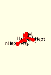 CCCCCCCC1(CCCCCCC)C2=CC=CCC2c2ccc(-c3ccc4c(c3)C(C)(C)c3cc(C5C=CC(c6cc7c(c8c6oc6ccccc68)-c6ccc(N(c8ccc(-c9ccc%10c(c9)C(C)(C)c9cc(-c%11ccc%12c(c%11)C(CCCCCCC)(CCCCCCC)c%11ccccc%11-%12)ccc9-%10)cc8)c8ccc9c(c8)C(C)(C)c8c%10c(c%11oc%12ccccc%12c%11c8-9)-c8ccccc8C%10(C)C)cc6C7(C)C)=CC5)ccc3-4)cc21